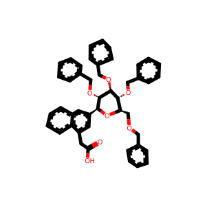 O=C(O)Cc1cc([C@@H]2O[C@H](COCc3ccccc3)[C@@H](OCc3ccccc3)[C@H](OCc3ccccc3)[C@H]2OCc2ccccc2)cc2ccccc12